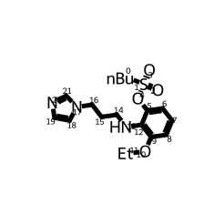 CCCCS(=O)(=O)Oc1cccc(OCC)c1NCCCn1ccnc1